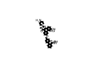 Cl.Cn1c(N2CCC(N)CC2)nc(-c2ccc(C#N)cc2)c(-c2ccc(OCc3ccc(-c4ccccc4C(=O)NO)cc3)cc2)c1=O